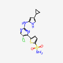 NS(=O)(=O)c1ccc(-c2nc(Nc3cc(C4CC4)c[nH]3)ncc2Cl)s1